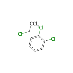 ClCC(Cl)(Cl)Cl.Clc1ccccc1Cl